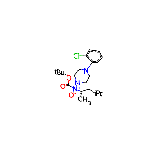 CC(C)CC(C)[N+]([O-])(C(=O)OC(C)(C)C)N1CCN(c2ccccc2Cl)CC1